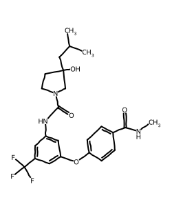 CNC(=O)c1ccc(Oc2cc(NC(=O)N3CCC(O)(CC(C)C)C3)cc(C(F)(F)F)c2)cc1